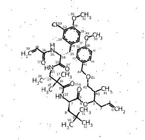 C=CCC(OC(=O)[C@@H](CC(C)(C)C)NC(=O)C(C)(C)[C@H](C)NC(=O)[C@@H](Cc1ccc(OC)c(Cl)c1)NC(=O)C=C)C(C)COCc1ccc(OC)cc1